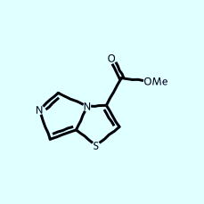 COC(=O)c1csc2cncn12